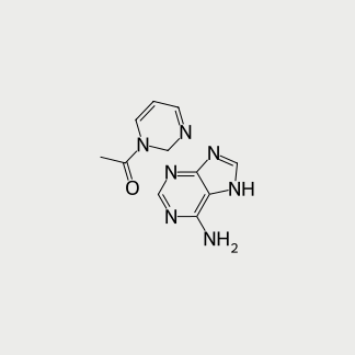 CC(=O)N1C=CC=NC1.Nc1ncnc2nc[nH]c12